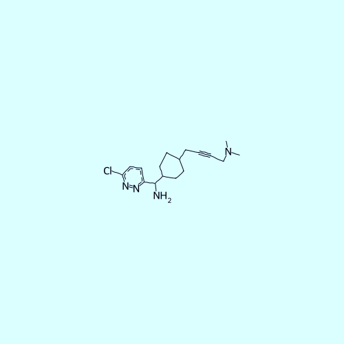 CN(C)CC#CCC1CCC(C(N)c2ccc(Cl)nn2)CC1